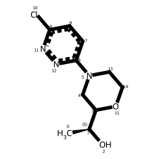 C[C@H](O)C1CN(c2ccc(Cl)nn2)CCO1